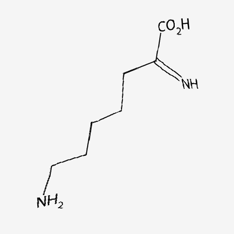 N=C(CCCCCN)C(=O)O